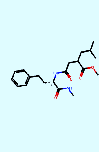 CNC(=O)[C@H](CCc1ccccc1)NC(=O)CC(CC(C)C)C(=O)OC